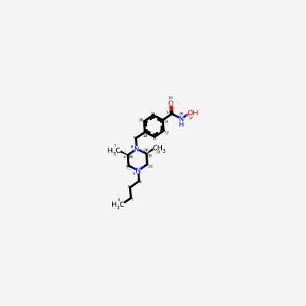 CCCCN1C[C@@H](C)N(Cc2ccc(C(=O)NO)cc2)[C@@H](C)C1